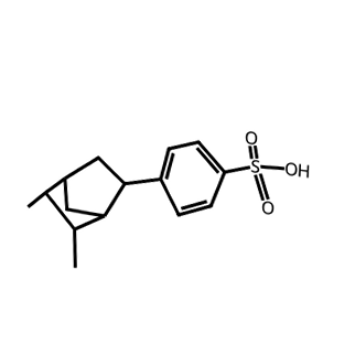 CC1C2CC(c3ccc(S(=O)(=O)O)cc3)C(C2)C1C